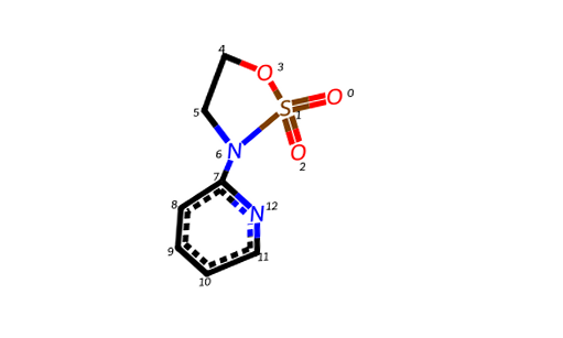 O=S1(=O)OCCN1c1ccccn1